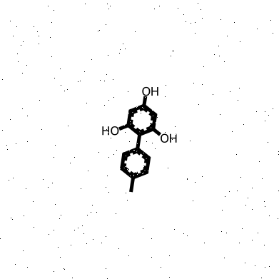 Cc1ccc(-c2c(O)cc(O)cc2O)cc1